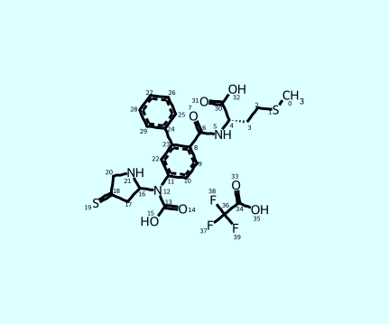 CSCC[C@H](NC(=O)c1ccc(N(C(=O)O)C2CC(=S)CN2)cc1-c1ccccc1)C(=O)O.O=C(O)C(F)(F)F